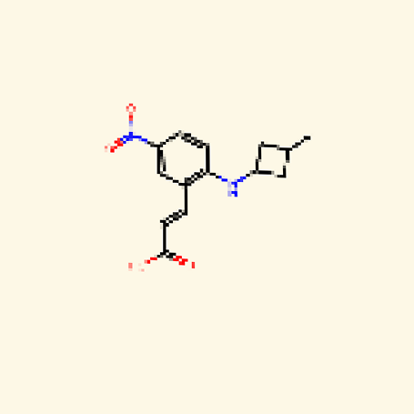 CC1CC(Nc2ccc([N+](=O)[O-])cc2C=CC(=O)O)C1